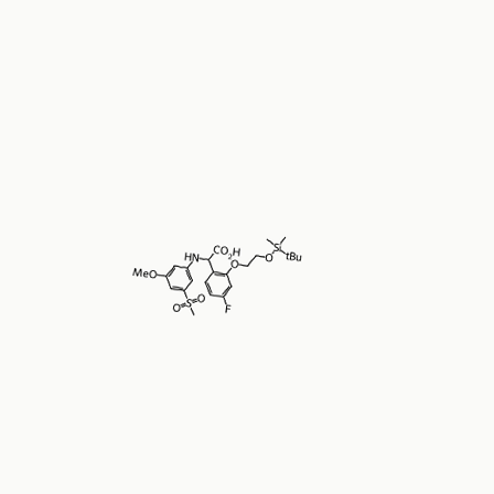 COc1cc(NC(C(=O)O)c2ccc(F)cc2OCCO[Si](C)(C)C(C)(C)C)cc(S(C)(=O)=O)c1